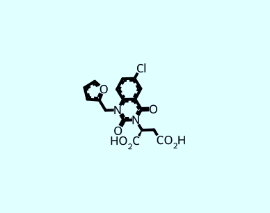 O=C(O)C[C@@H](C(=O)O)n1c(=O)c2cc(Cl)ccc2n(Cc2ccco2)c1=O